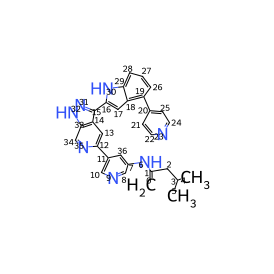 C=C(CC(C)C)Nc1cncc(-c2cc3c(-c4cc5c(-c6ccncc6)cccc5[nH]4)n[nH]c3cn2)c1